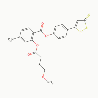 O=C(CCCO[N+](=O)[O-])Oc1cc([N+](=O)[O-])ccc1C(=O)Oc1ccc(-c2cc(=S)ss2)cc1